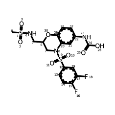 CS(=O)(=O)NCC1CN(S(=O)(=O)c2ccc(F)c(F)c2)c2cc(NC(=O)O)ccc2O1